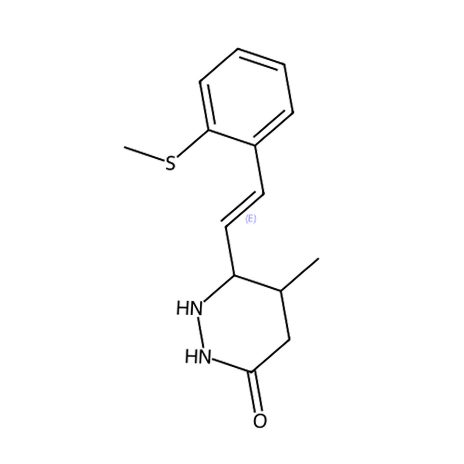 CSc1ccccc1/C=C/C1NNC(=O)CC1C